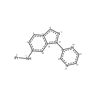 CC(C)Nc1ccc2cnn(-c3cnccn3)c2c1